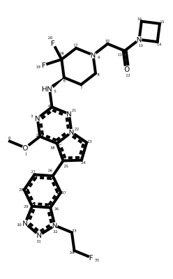 COc1nc(N[C@@H]2CCN(CC(=O)N3CCC3)CC2(F)F)nn2ccc(-c3ccc4nnn(CCF)c4c3)c12